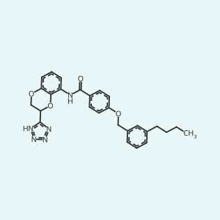 CCCCc1cccc(COc2ccc(C(=O)Nc3cccc4c3OC(c3nnn[nH]3)CO4)cc2)c1